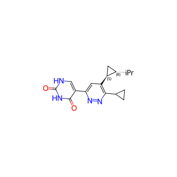 CC(C)[C@H]1C[C@@H]1c1cc(-c2c[nH]c(=O)[nH]c2=O)nnc1C1CC1